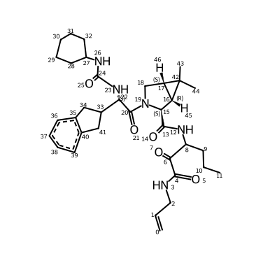 C=CCNC(=O)C(=O)C(CCC)NC(=O)[C@@H]1[C@@H]2[C@H](CN1C(=O)[C@@H](NC(=O)NC1CCCCC1)C1Cc3ccccc3C1)C2(C)C